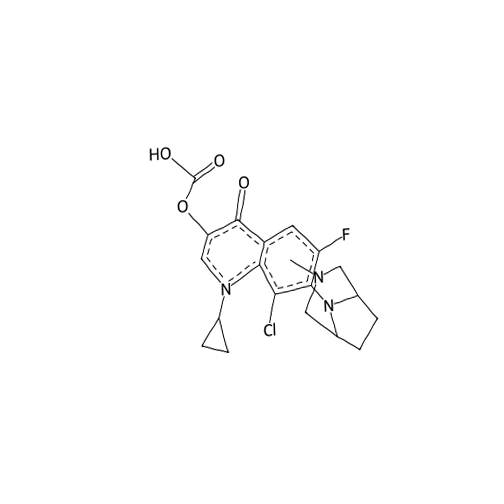 CN1CC2CCC(C1)N2c1c(F)cc2c(=O)c(OC(=O)O)cn(C3CC3)c2c1Cl